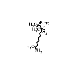 BC(C)CCCCCCCC(C)(C)CC(C)(C)CCCCC